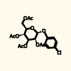 CC(=O)OC[C@H]1O[C@H](Oc2ccc(Cl)cc2)[C@H](OC(C)=O)[C@@H](OC(C)=O)[C@@H]1OC(C)=O